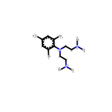 CCc1cc(C(F)(F)F)cc(C(F)(F)F)c1N(CCN(CC)CC)CCN(CC)CC